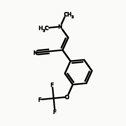 CN(C)/C=C(\C#N)c1cccc(OC(F)(F)F)c1